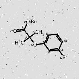 CC(C)COC(=O)C(C)(C)Oc1cccc(Br)c1